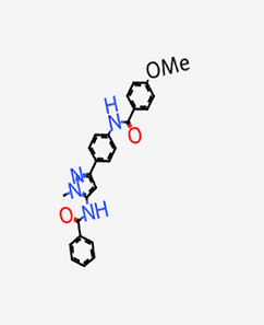 COc1ccc(C(=O)Nc2ccc(-c3cc(NC(=O)c4ccccc4)n(C)n3)cc2)cc1